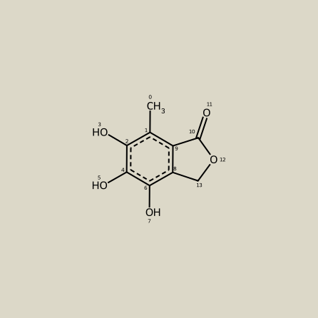 Cc1c(O)c(O)c(O)c2c1C(=O)OC2